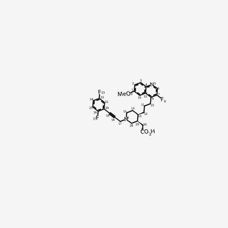 COc1ccc2ncc(F)c(CCC[C@@H]3CCN(CC#Cc4cc(F)ccc4F)C[C@@H]3CC(=O)O)c2c1